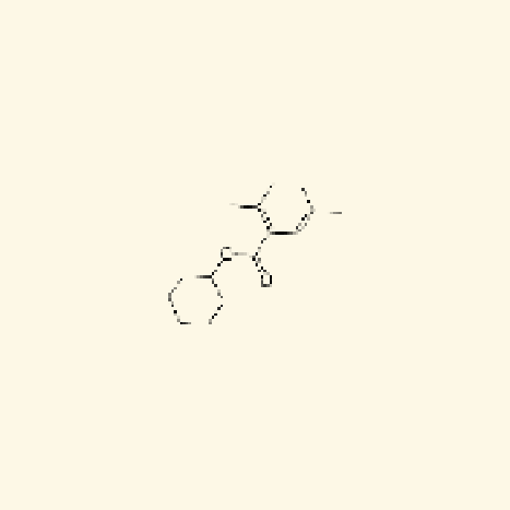 CC(C)=CC(C(=O)OC1CCCCC1)=C(C)C